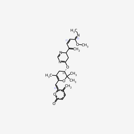 C=C(/C=C\C(=N/C)OC)C1CC(O[C@H]2CC(C)=C(/C=c3/oc(=O)ccc3=C)OC2(C)C)=NC=N1